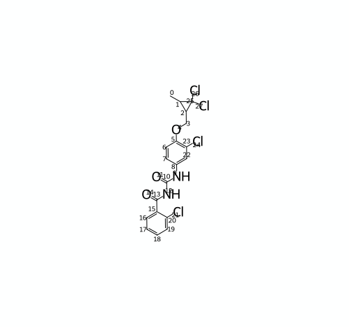 CC1C(COc2ccc(NC(=O)NC(=O)c3ccccc3Cl)cc2Cl)C1(Cl)Cl